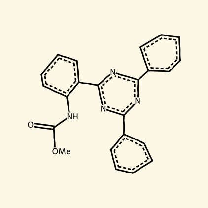 COC(=O)Nc1ccccc1-c1nc(-c2ccccc2)nc(-c2ccccc2)n1